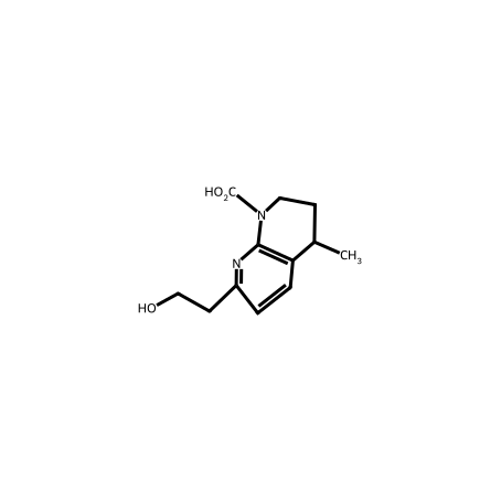 CC1CCN(C(=O)O)c2nc(CCO)ccc21